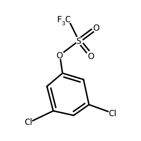 O=S(=O)(Oc1cc(Cl)cc(Cl)c1)C(F)(F)F